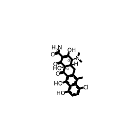 Cc1c2c(c(O)c3c(O)ccc(Cl)c13)C(=O)[C@]1(O)C(=O)C(C(N)=O)=C(O)[C@@H](N(C)C)[C@@H]1C2